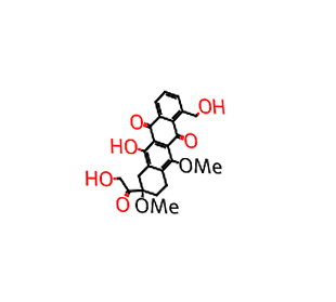 COc1c2c(c(O)c3c1C(=O)c1c(CO)cccc1C3=O)C[C@@](OC)(C(=O)CO)CC2